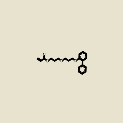 C=CC(=O)OCCCOCCCOc1ccccc1-c1ccccc1